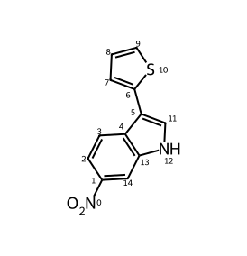 O=[N+]([O-])c1ccc2c(-c3cccs3)c[nH]c2c1